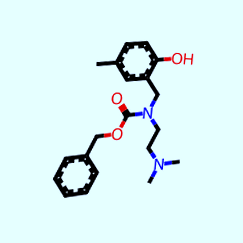 Cc1ccc(O)c(CN(CCN(C)C)C(=O)OCc2ccccc2)c1